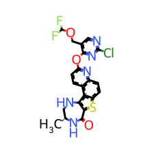 C[C@@H]1CNc2c(sc3ccc4nc(Oc5nc(Cl)ncc5COC(F)F)ccc4c23)C(=O)N1